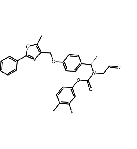 Cc1ccc(OC(=O)N(CC=O)[C@@H](C)c2ccc(OCc3nc(-c4ccccc4)oc3C)cc2)cc1F